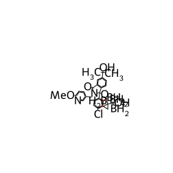 BC(B)(O)C1(C(B)(B)O[C@]2(c3ccc(Cl)cc3)c3ccc(C(C)(C)O)cc3C(=O)N2Cc2ccc(OC)nc2)CC1